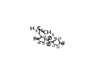 CN(C)Cc1cc(S(=O)(=O)c2ccc(F)cc2)ccc1F